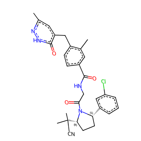 Cc1cc(Cc2ccc(C(=O)NCC(=O)N3[C@H](c4cccc(Cl)c4)CC[C@@H]3C(C)(C)C#N)cc2C)c(=O)[nH]n1